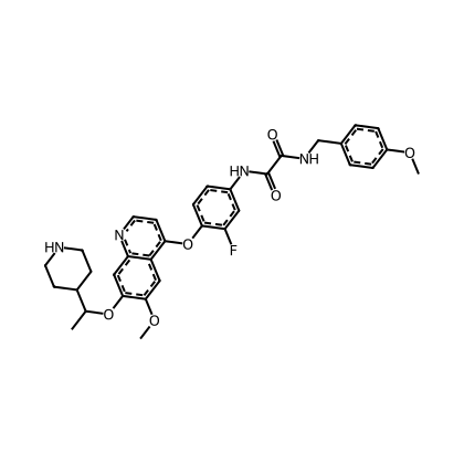 COc1ccc(CNC(=O)C(=O)Nc2ccc(Oc3ccnc4cc(OC(C)C5CCNCC5)c(OC)cc34)c(F)c2)cc1